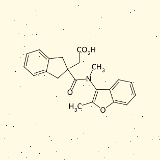 Cc1oc2ccccc2c1N(C)C(=O)C1(CC(=O)O)Cc2ccccc2C1